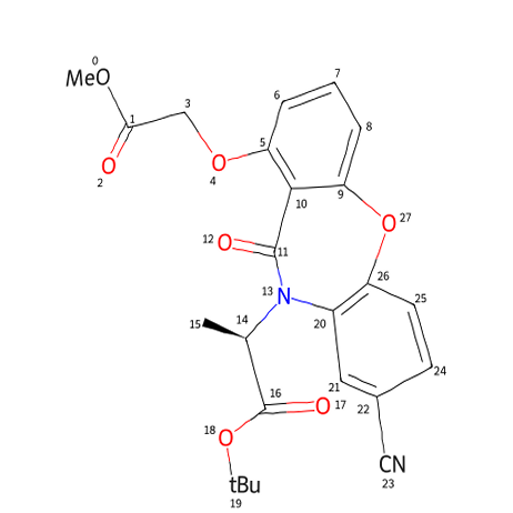 COC(=O)COc1cccc2c1C(=O)N([C@H](C)C(=O)OC(C)(C)C)c1cc(C#N)ccc1O2